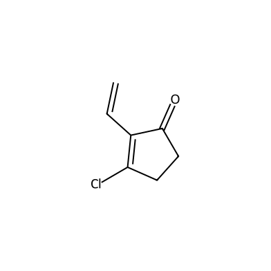 C=CC1=C(Cl)CCC1=O